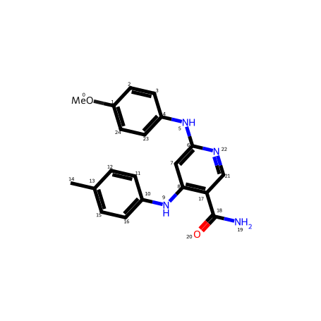 COc1ccc(Nc2cc(Nc3ccc(C)cc3)c(C(N)=O)cn2)cc1